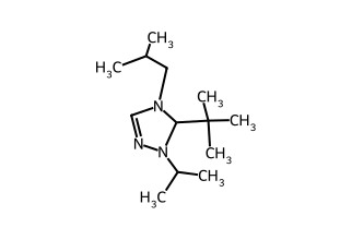 CC(C)CN1C=NN(C(C)C)C1C(C)(C)C